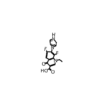 CCn1cc(C(=O)O)c(=O)c2cc(F)c(N3CC4CCCC3CN4)c(F)c21